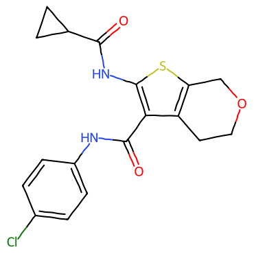 O=C(Nc1ccc(Cl)cc1)c1c(NC(=O)C2CC2)sc2c1CCOC2